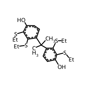 CCSc1c(O)ccc(C(C)(C)c2ccc(O)c(SCC)c2SCC)c1SCC